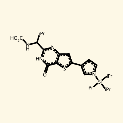 CC(C)C(NC(=O)O)c1nc2cc(-c3ccn([Si](C(C)C)(C(C)C)C(C)C)c3)sc2c(=O)[nH]1